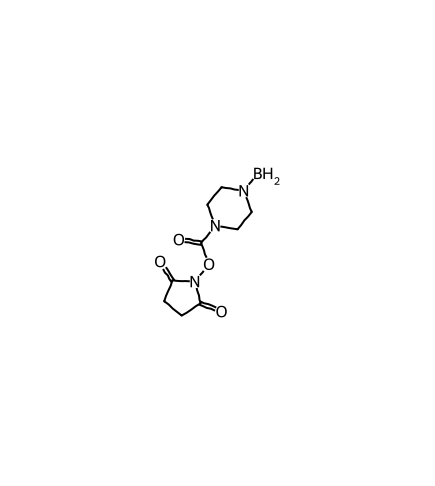 BN1CCN(C(=O)ON2C(=O)CCC2=O)CC1